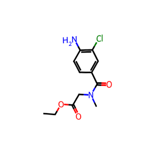 CCOC(=O)CN(C)C(=O)c1ccc(N)c(Cl)c1